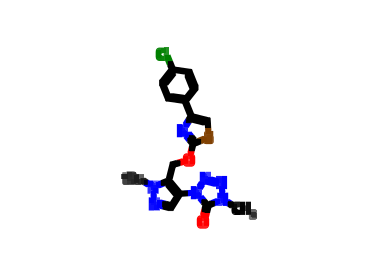 Cn1nnn(-c2cnn(C(C)(C)C)c2COc2nc(-c3ccc(Cl)cc3)cs2)c1=O